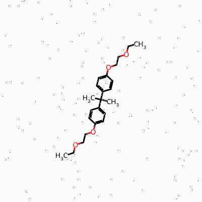 CCOCCOc1ccc(C(C)(C)c2ccc(OCCOCC)cc2)cc1